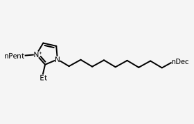 CCCCCCCCCCCCCCCCCCCn1cc[n+](CCCCC)c1CC